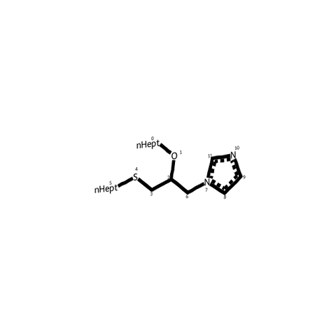 CCCCCCCOC(CSCCCCCCC)Cn1ccnc1